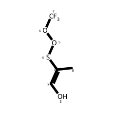 C/C(=C\O)SOOC(F)(F)F